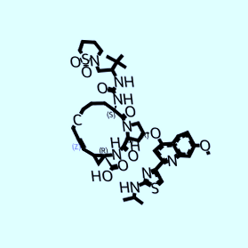 COc1ccc2c(O[C@@H]3C[C@H]4C(=O)N[C@]5(C(=O)O)CC5/C=C\CCCCC[C@H](NC(=O)NC(CN5CCCCS5(=O)=O)C(C)(C)C)C(=O)N4C3)cc(-c3csc(NC(C)C)n3)nc2c1